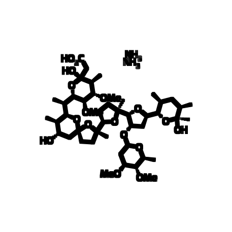 CO[C@@H]1[C@@H](OC)[C@H](C)[C@@](O)(CC(=O)O)O[C@H]1[C@H](C)[C@H]1O[C@@]2(CC[C@@](C)([C@H]3CC[C@@](C)([C@@H]4O[C@@H]([C@H]5O[C@](C)(O)[C@H](C)C[C@@H]5C)C[C@@H]4OC4C[C@H](OC)[C@@H](OC)[C@H](C)O4)O3)O2)C[C@H](O)[C@H]1C.N.N